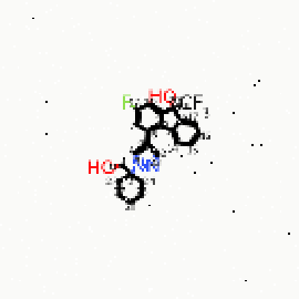 OCC1(n2cc(-c3cc(F)cc4c3-c3ccccc3[C@]4(O)C(F)(F)F)cn2)CCCCC1